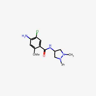 COc1cc(N)c(Cl)cc1C(=O)NC1CN(C)N(C(C)C)C1